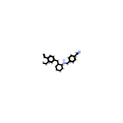 C=Cc1ccc(CC2CCCCC2NCc2ccc(C#N)cc2)cc1CC